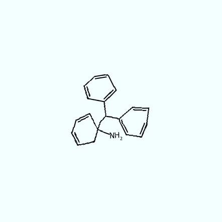 NC1(C(c2ccccc2)c2ccccc2)C=CC=CC1